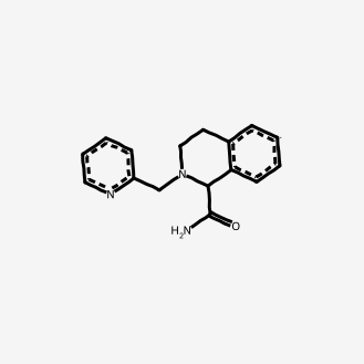 NC(=O)C1c2cc[c]cc2CCN1Cc1ccccn1